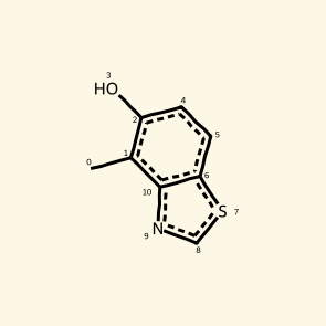 Cc1c(O)ccc2scnc12